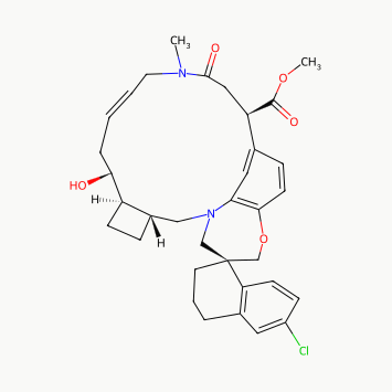 COC(=O)[C@@H]1CC(=O)N(C)CC=CC[C@H](O)[C@@H]2CC[C@H]2CN2C[C@@]3(CCCc4cc(Cl)ccc43)COc3ccc1cc32